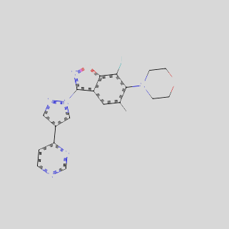 C[C@@H]1CN(c2c(C=O)cc3c(-n4cc(-c5ccncn5)cn4)noc3c2F)C[C@H](C)O1